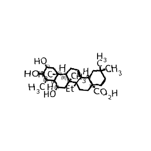 CCC12CC[C@@]3(C(=O)O)CCC(C)(C)C[C@H]3C1=CC[C@@H]1[C@@]3(C)C[C@H](O)[C@H](O)[C@H](C)[C@@H]3[C@H](O)C[C@]12C